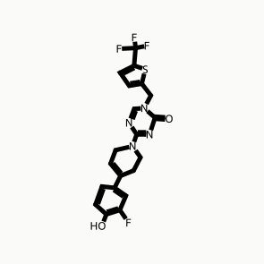 O=c1nc(N2CC=C(c3ccc(O)c(F)c3)CC2)ncn1Cc1ccc(C(F)(F)F)s1